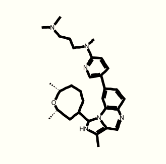 CC1=C2C=Nc3ccc(-c4ccc(N(C)CCCN(C)C)nc4)cc3N2C(C2CCC[C@@H](C)O[C@@H](C)C2)N1